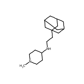 CN1CCC(NCCC23CC4CC(CC(C4)C2)C3)CC1